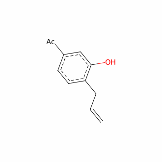 C=CCc1ccc(C(C)=O)cc1O